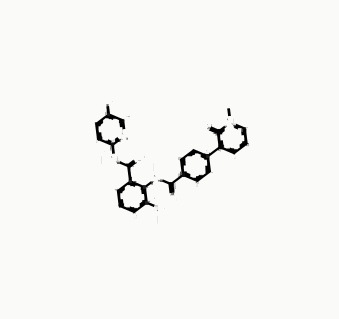 Cn1cccc(-c2ccc(C(=O)Nc3c(O)cccc3C(=O)Nc3ccc(Cl)cn3)cc2)c1=O